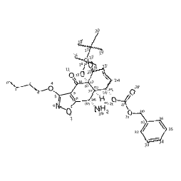 CCCCOc1noc2c1C(=O)[C@@]1(O[Si](C)(C)C(C)(C)C)C(=O)C=C[C@H](OC(=O)OCc3ccccc3)[C@H]1[C@@H]2N